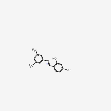 Oc1ccc(/C=N/c2cc(C(F)(F)F)cc(C(F)(F)F)c2)c(O)c1